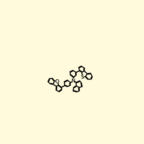 c1cc(-c2cccc3c2sc2ccccc23)cc(N(c2ccc(-c3cccc4c3oc3ccccc34)cc2)c2cccc3ccccc23)c1